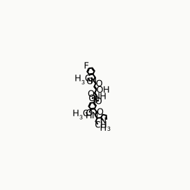 CCC(NC(=O)c1cc(S(=O)(=O)NC(=O)C(O)=CC(=O)N(Cc2ccc(F)cc2)OC)ccc1OC)C1CCCN1